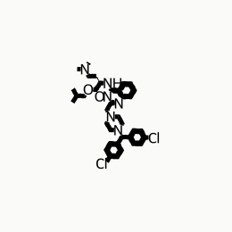 CC(C)COC(=O)[C@H](CCN(C)C)Nc1nc(CN2CCN(C(c3ccc(Cl)cc3)c3ccc(Cl)cc3)CC2)nc2ccccc12